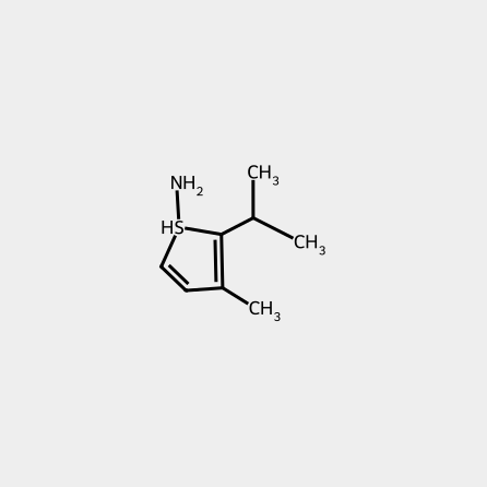 CC1=C(C(C)C)[SH](N)C=C1